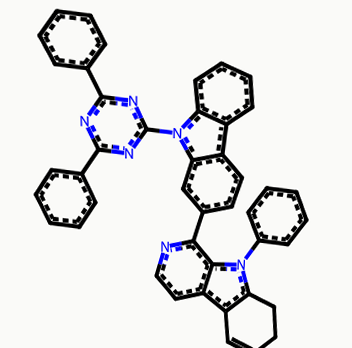 C1=Cc2c(n(-c3ccccc3)c3c(-c4ccc5c6ccccc6n(-c6nc(-c7ccccc7)nc(-c7ccccc7)n6)c5c4)nccc23)CC1